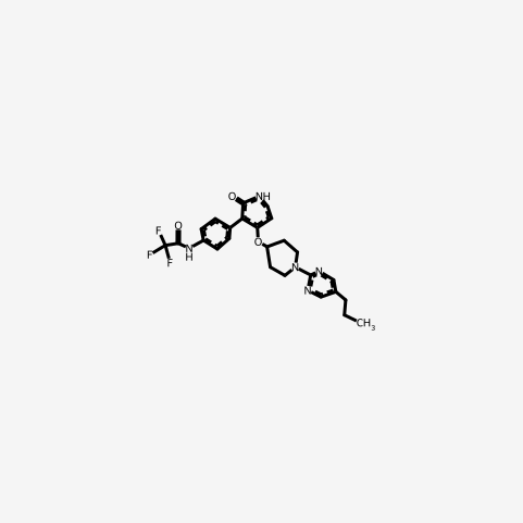 CCCc1cnc(N2CCC(Oc3cc[nH]c(=O)c3-c3ccc(NC(=O)C(F)(F)F)cc3)CC2)nc1